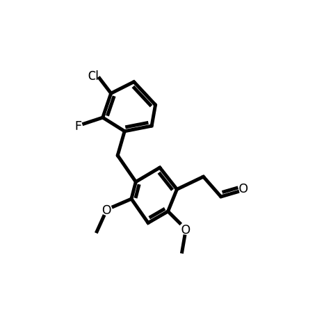 COc1cc(OC)c(Cc2cccc(Cl)c2F)cc1CC=O